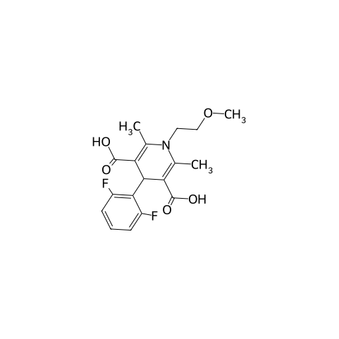 COCCN1C(C)=C(C(=O)O)C(c2c(F)cccc2F)C(C(=O)O)=C1C